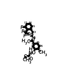 COC(=O)NOc1cc(/C(C)=N/OCc2cccc(F)c2C(F)(F)F)ccc1C